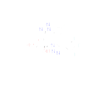 OC[C@H]1O[C@@H](c2ncnn2-c2cccc(Cl)c2)C[C@@H](n2cc(-c3cc(F)c(F)c(F)c3)nn2)[C@H]1O